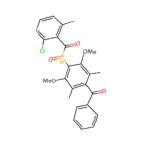 COc1c(C)c(C(=O)c2ccccc2)c(C)c(OC)c1[PH](=O)C(=O)c1c(C)cccc1Cl